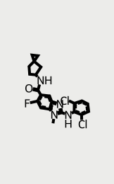 Cn1c(Nc2c(Cl)cccc2Cl)nc2cc(C(=O)NC3CCC4(CC4)C3)c(F)cc21